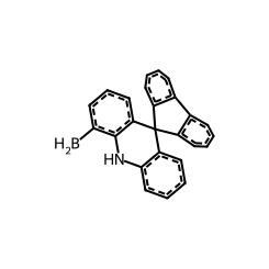 Bc1cccc2c1Nc1ccccc1C21c2ccccc2-c2ccccc21